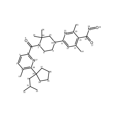 Cc1ccc(C(=O)N2CCN(c3cc(C)c(C(=O)N=O)c(C)n3)CC2(C)C)nc1C1(CC(C)C)CCCC1